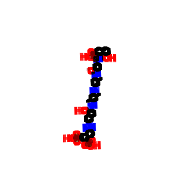 COc1cc(N=Nc2c(S(=O)(=O)O)ccc3cccc(O)c23)ccc1N=Nc1ccc(N=Nc2cc(C)c(N=Nc3ccc4cc(-n5nc6ccc7c(S(=O)(=O)O)cc(S(=O)(=O)O)cc7c6n5)ccc4c3O)cc2C)cc1C